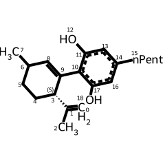 C=C(C)[C@@H]1CCC(C)C=C1c1c(O)cc(CCCCC)cc1O